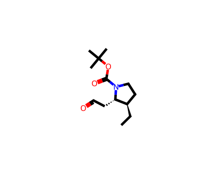 CC[C@@H]1CCN(C(=O)OC(C)(C)C)[C@H]1CC=O